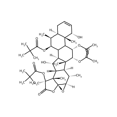 CC(=O)O[C@H]1C2C([C@@H](OC(=O)C(C)(C)C)[C@@H](C)[C@H]3CC=C[C@H](O)[C@]23C)[C@@H]2[C@@H](O)[C@@H]3[C@H]([C@H](C)[C@H]4O[C@]45OC(=O)[C@@](C)(OC(=O)C(C)(C)C)[C@]35C)[C@@]2(C)[C@H]1OC(C)=O